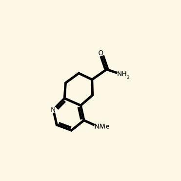 CNc1ccnc2c1CC(C(N)=O)CC2